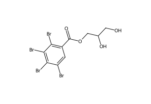 O=C(OCC(O)CO)c1cc(Br)c(Br)c(Br)c1Br